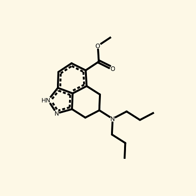 CCCN(CCC)C1Cc2n[nH]c3ccc(C(=O)OC)c(c23)C1